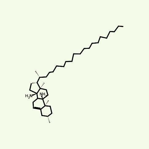 CCCCCCCCCCCCCCCCCCC[C@@H](C)[C@H]1CC[C@@]2(N)C3CC=C4C[C@@H](C)CC[C@]4(C)[C@@]3(N)CC[C@]12C